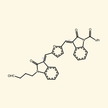 CCCC(=O)N1C(=O)/C(=C/c2ccc(/C=C3/C(=O)N(CCCC=O)c4ccccc43)o2)c2ccccc21